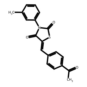 CC(=O)c1ccc(/C=C2\SC(=O)N(c3cccc(C)c3)C2=O)cc1